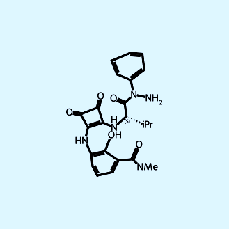 CNC(=O)c1cccc(Nc2c(N[C@H](C(=O)N(N)c3ccccc3)C(C)C)c(=O)c2=O)c1O